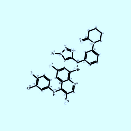 CC(C)n1cc([C@@H](Nc2cc(Cl)cc3c(Nc4ccc(F)c(Cl)c4)c(C#N)cnc23)c2cccc(N3CCCCC3=O)c2)nn1